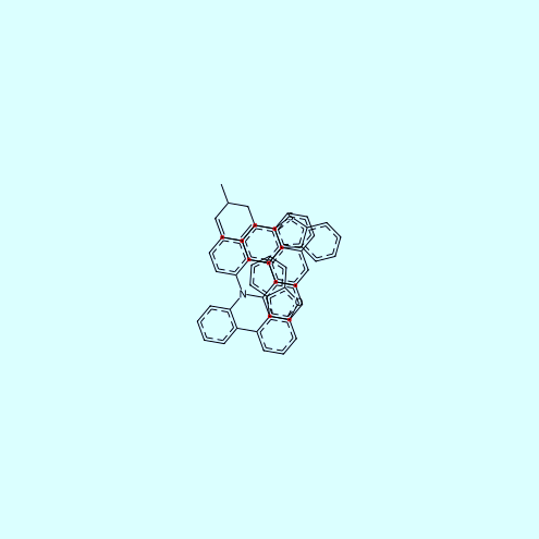 CC1C=CC=C(c2cccc3cccc(-c4ccccc4N(c4ccccc4-c4cccc5oc6ccccc6c45)c4ccccc4-c4cccc5sc6ccccc6c45)c23)C1